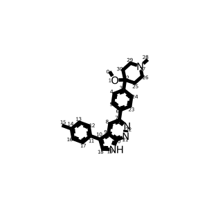 COC1(c2ccc(-c3cc4c(-c5ccc(C)cc5)c[nH]c4nn3)cc2)CCN(C)CC1